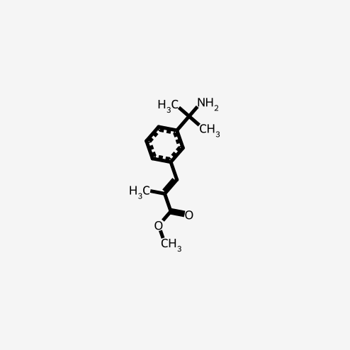 COC(=O)/C(C)=C/c1cccc(C(C)(C)N)c1